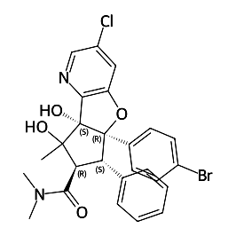 CN(C)C(=O)[C@@H]1[C@@H](c2ccccc2)[C@]2(c3ccc(Br)cc3)Oc3cc(Cl)cnc3[C@]2(O)C1(C)O